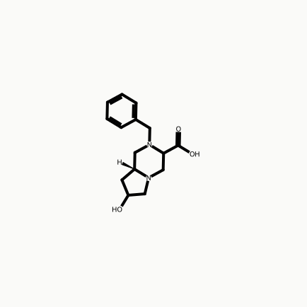 O=C(O)C1CN2CC(O)C[C@@H]2CN1Cc1ccccc1